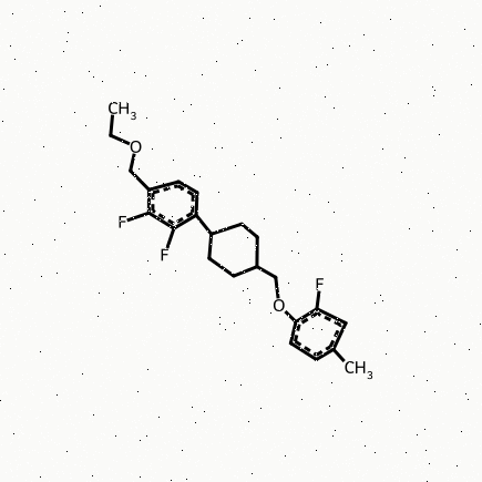 CCOCc1ccc(C2CCC(COc3ccc(C)cc3F)CC2)c(F)c1F